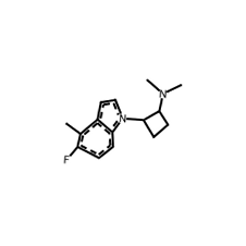 Cc1c(F)ccc2c1ccn2C1CCC1N(C)C